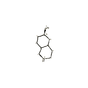 CCC[C@@H]1CCC2CNCCC2C1